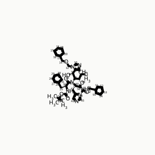 CC(C)CC([C@H](O)c1cncn1COCc1ccccc1)N(C(=O)[C@H](Cc1ccccc1)NC(=O)OC(C)(C)C)[C@@H](Cc1cncn1COCc1ccccc1)C(N)=O